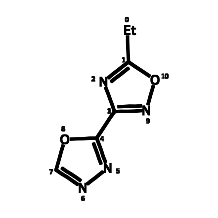 CCc1nc(-c2nnco2)no1